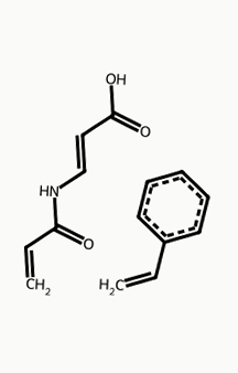 C=CC(=O)NC=CC(=O)O.C=Cc1ccccc1